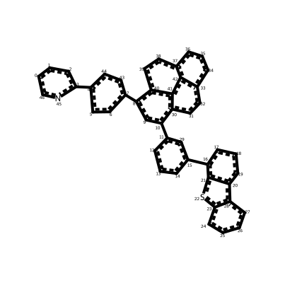 c1ccc(-c2ccc(-c3cc(-c4cccc(-c5cccc6c5sc5ccccc56)c4)c4ccc5cccc6ccc3c4c65)cc2)nc1